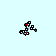 c1ccc(-c2cc(N(c3ccc4ccccc4c3)c3ccc(-c4ccccc4)c4ccccc34)c(-c3ccccc3)cc2-c2cc3ccccc3c3ccccc23)cc1